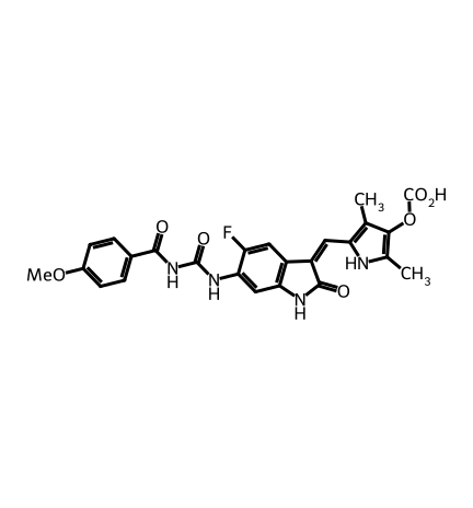 COc1ccc(C(=O)NC(=O)Nc2cc3c(cc2F)/C(=C/c2[nH]c(C)c(OC(=O)O)c2C)C(=O)N3)cc1